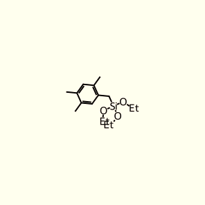 CCO[Si](Cc1cc(C)c(C)cc1C)(OCC)OCC